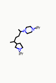 CC(CCC(C)N1CCN(C(C)C)CC1)C1CCN(C(C)C)C1